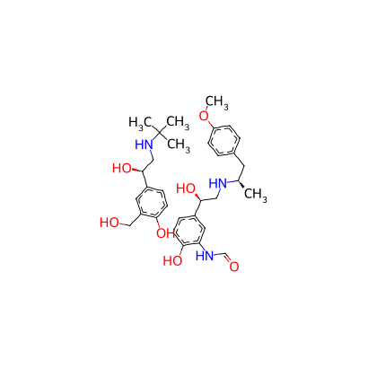 CC(C)(C)NC[C@H](O)c1ccc(O)c(CO)c1.COc1ccc(C[C@@H](C)NC[C@H](O)c2ccc(O)c(NC=O)c2)cc1